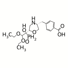 CCOC(OCC)C(O)([PH2]=O)[C@@H]1CN[C@H](Cc2ccc(C(=O)O)cc2)CO1